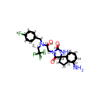 C[C@H](N(Cc1ccc(F)cc1)C(=O)CN1C(=O)NC2(CCc3c(N)cccc32)C1=O)C(F)(F)F